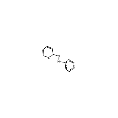 [c]1nccc(N=NC2C=CC=CO2)n1